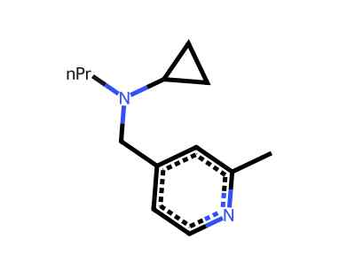 CCCN(Cc1ccnc(C)c1)C1CC1